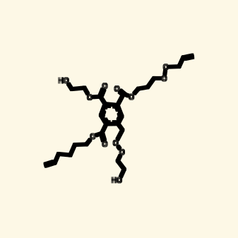 C=CCCCCOC(=O)c1cc(C(=O)OCCO)c(C(=O)OCCCOOCC=C)cc1COOCCO